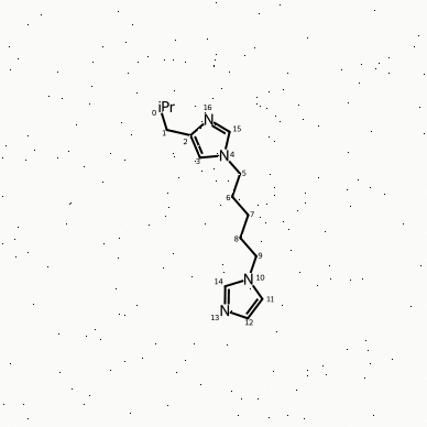 CC(C)Cc1cn(CCCCCn2ccnc2)cn1